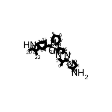 Cc1cn2nc([C@@H]3CCCCN3C(=O)c3ccc4[nH]c(C)c(C)c4c3)cc2nc1N1CC[C@H](N)C1